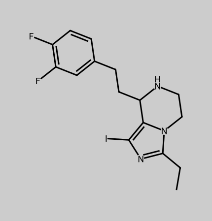 CCc1nc(I)c2n1CCNC2CCc1ccc(F)c(F)c1